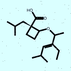 CCC(=CC(C)C)C(C)OC1CC[C@]1(CC(C)C)C(=O)O